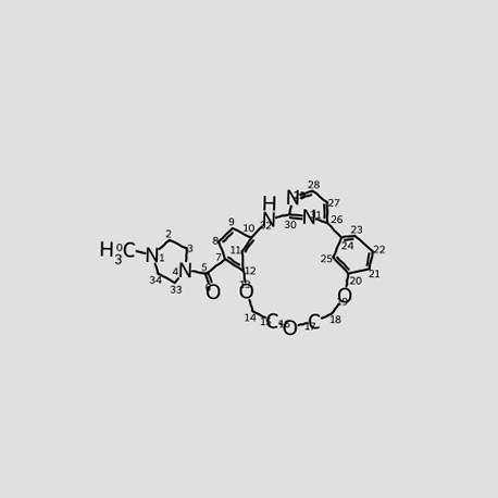 CN1CCN(C(=O)c2ccc3cc2OCCOCCOc2cccc(c2)-c2ccnc(n2)N3)CC1